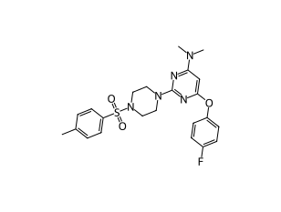 Cc1ccc(S(=O)(=O)N2CCN(c3nc(Oc4ccc(F)cc4)cc(N(C)C)n3)CC2)cc1